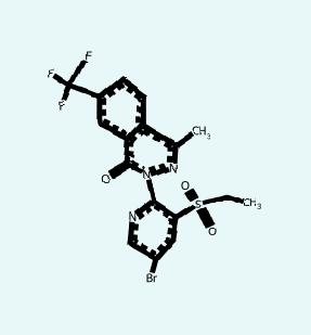 CCS(=O)(=O)c1cc(Br)cnc1-n1nc(C)c2ccc(C(F)(F)F)cc2c1=O